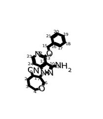 N#CC1CCCOCC1n1nc(N)c2c(OCc3ccccc3)nccc21